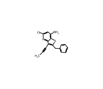 CC#Cc1c(Cc2ccccc2)sc2c(N)cc(Cl)nc12